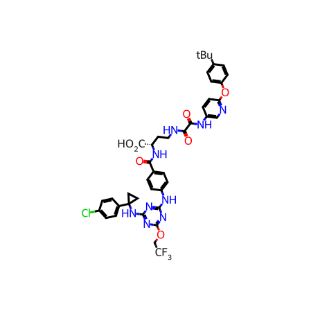 CC(C)(C)c1ccc(Oc2ccc(NC(=O)C(=O)NCC[C@H](NC(=O)c3ccc(Nc4nc(NC5(c6ccc(Cl)cc6)CC5)nc(OCC(F)(F)F)n4)cc3)C(=O)O)cn2)cc1